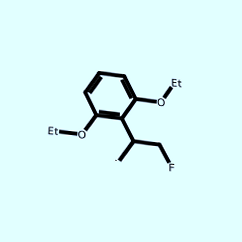 [CH2]C(CF)c1c(OCC)cccc1OCC